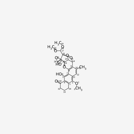 COc1c2c(c(O)c3c4c(c(C)cc13)C1OC3(C(OC)OC)OC1[C@@](O)(O4)[C@@]31CO1)C(=O)CCC2